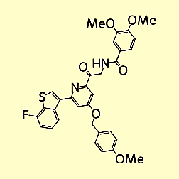 COc1ccc(COc2cc(C(=O)CNC(=O)c3ccc(OC)c(OC)c3)nc(-c3csc4c(F)cccc34)c2)cc1